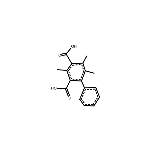 Cc1c(C)c(-c2ccccc2)c(C(=O)O)c(C)c1C(=O)O